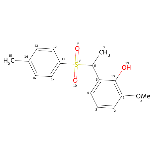 COc1cccc(C(C)S(=O)(=O)c2ccc(C)cc2)c1O